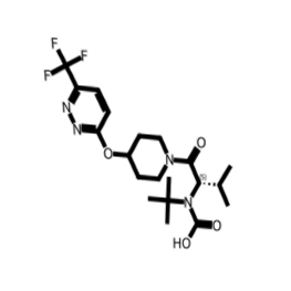 CC(C)[C@@H](C(=O)N1CCC(Oc2ccc(C(F)(F)F)nn2)CC1)N(C(=O)O)C(C)(C)C